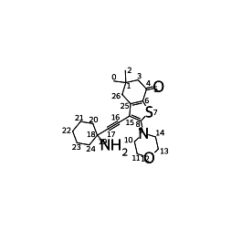 CC1(C)CC(=O)c2sc(N3CCOCC3)c(C#CC3(N)CCCCC3)c2C1